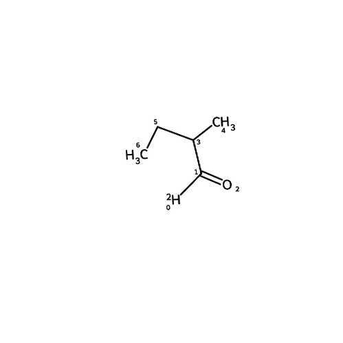 [2H]C(=O)C(C)CC